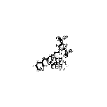 CC(C)(C)[Si](C)(C)OC(CNCCn1cc([N+](=O)[O-])nc1[N+](=O)[O-])Cc1cccnc1